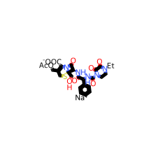 CCN1CCN(C(=O)NC(C(=O)N[C@@H]2C(=O)N3C(C(=O)[O-])=C(COC(C)=O)CSC23CO)c2ccccc2)C(=O)C1=O.[Na+]